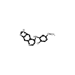 COc1ccc(Cl)c(Nc2ccnc3cc4nc[nH]c4cc23)c1